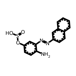 Nc1ccc(OS(=O)O)cc1N=Nc1ccc2ccccc2c1